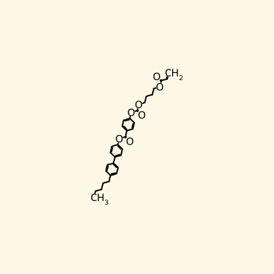 C=CC(=O)OCCCCOC(=O)Oc1ccc(C(=O)Oc2ccc(-c3ccc(CCCCC)cc3)cc2)cc1